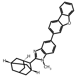 Cn1c(C2[C@H]3CC4C[C@H](C3)C[C@H]2C4)nc2cc(-c3ccc4c(c3)oc3ccccc34)ccc21